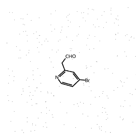 O=CCc1cc(Br)ccn1